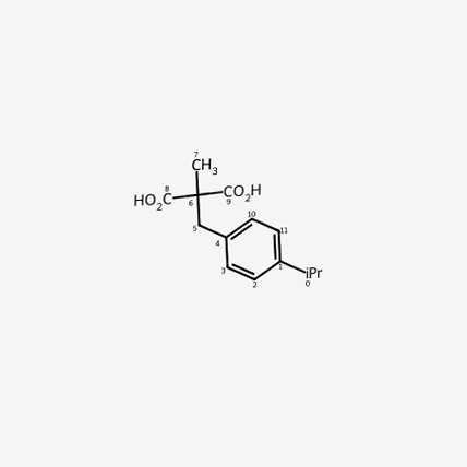 CC(C)c1ccc(CC(C)(C(=O)O)C(=O)O)cc1